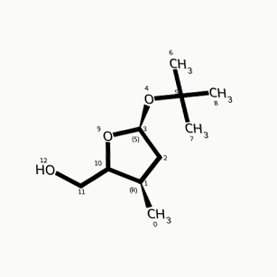 C[C@@H]1C[C@H](OC(C)(C)C)OC1CO